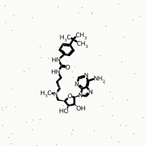 CN(CCCNC(=O)Nc1ccc(C(C)(C)C)cc1)C[C@H]1O[C@@H](n2cnc3c(N)ncnc32)[C@H](O)[C@H]1O